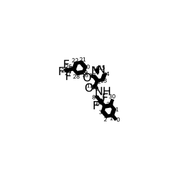 Cc1ccc(C(F)(F)CNC(=O)c2ccnnc2Oc2cccc(C(F)(F)F)c2)c(C)c1